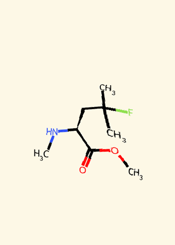 CN[C@@H](CC(C)(C)F)C(=O)OC